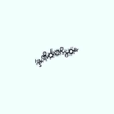 CC(=S)NC[C@H]1CN(c2ccc(N3CCN(C(=O)CCC(=O)c4ccc(Br)cc4)CC3)c(F)c2)C(=O)O1